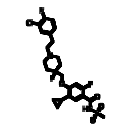 CS(=O)(=O)NC(=O)c1cc(C2CC2)c(OCC2(F)CCN(CCc3ccc(F)c(Cl)c3)CC2)cc1F